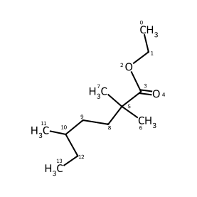 CCOC(=O)C(C)(C)CCC(C)CC